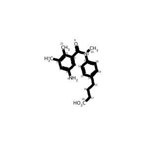 Cc1cc(N)cc(C(=O)N(C)c2ccc(CCCC(=O)O)cc2)c1C